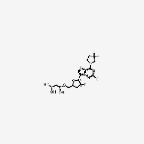 OP(O)CP(O)OCC1C[C@H](F)[C@H](c2cnc3c(N4CCC(F)(F)C4)nc(Cl)nn23)O1